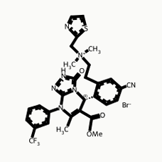 COC(=O)C1=C(C)N(c2cccc(C(F)(F)F)c2)c2n[nH]c(=O)n2[C@@H]1c1ccc(C#N)cc1CC[N+](C)(C)Cc1nccs1.[Br-]